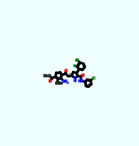 COC(=O)c1ccc(C(=O)C[C@H]2CC(c3cccc(Cl)c3F)C(C(=O)Nc3cccc(Cl)c3)N2)c(N)c1OC